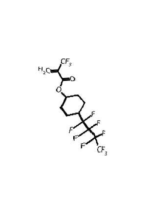 C=C(C(=O)OC1CCC(C(F)(F)C(F)(F)C(F)(F)C(F)(F)F)CC1)C(F)(F)F